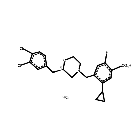 Cl.O=C(O)c1cc(C2CC2)c(CN2CCO[C@H](Cc3ccc(Cl)c(Cl)c3)C2)cc1F